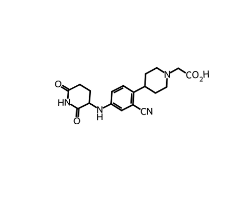 N#Cc1cc(NC2CCC(=O)NC2=O)ccc1C1CCN(CC(=O)O)CC1